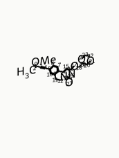 COC(C)C#Cc1ccc2c(c1)CCn1c-2cc(OC[C@@H]2COCCO2)nc1=O